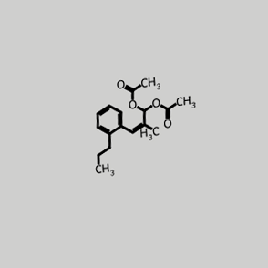 CCCc1ccccc1C=C(C)C(OC(C)=O)OC(C)=O